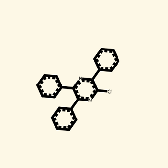 Clc1nc(-c2ccccc2)c(-c2ccccc2)nc1-c1ccccc1